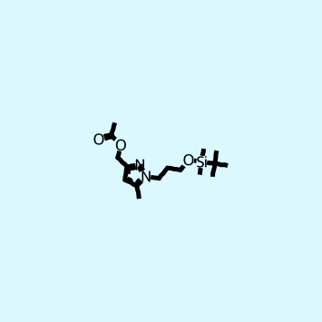 CC(=O)OCc1cc(C)n(CCCO[Si](C)(C)C(C)(C)C)n1